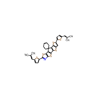 N#CC(C#N)=Cc1ccc(-c2cc3sc4c(c3s2)C2(CCCCC2)c2c-4sc3nc(-c4ccc(C=C(C#N)C#N)s4)sc23)s1